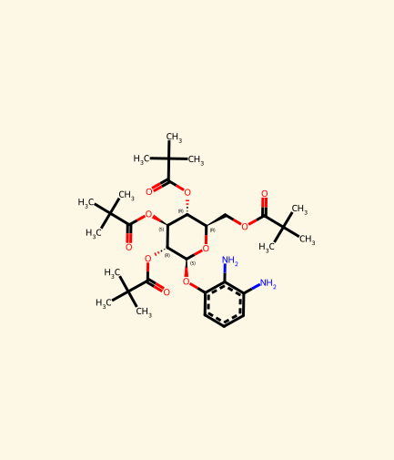 CC(C)(C)C(=O)OC[C@H]1O[C@@H](Oc2cccc(N)c2N)[C@H](OC(=O)C(C)(C)C)[C@@H](OC(=O)C(C)(C)C)[C@@H]1OC(=O)C(C)(C)C